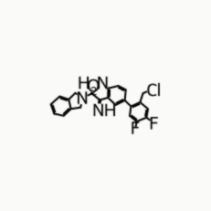 N=C(C(=O)N1Cc2ccccc2C1)c1cc(-c2cc(F)c(F)cc2CCl)ccc1N